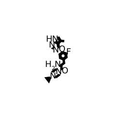 Cc1c[nH]c2ncnc(Oc3ccc(CC(N)C(=O)N4CCN(C5CC5)CC4)cc3F)c12